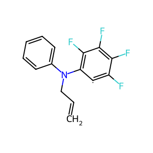 C=CCN(c1ccccc1)c1[c]c(F)c(F)c(F)c1F